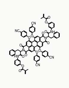 C=C(C)C(=O)Oc1cccc(NC(=O)C(Cc2ccccc2)N2C(=O)c3cc(Oc4ccc(C#N)cc4)c4c5c(Oc6ccc(C#N)cc6)cc6c7c(cc(Oc8ccc(C#N)cc8)c(c8c(Oc9ccc(C#N)cc9)cc(c3c48)C2=O)c75)C(=O)N(C(Cc2ccccc2)C(=O)Nc2cccc(OC(=O)C(=C)C)c2)C6=O)c1